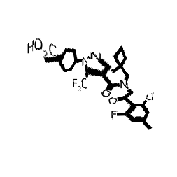 Cc1cc(F)c(C(=O)CN(CC2(C)CCC2)C(=O)c2cnn(C3CCC(C)(C(=O)O)CC3)c2C(F)(F)F)c(Cl)c1